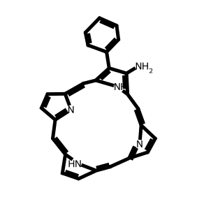 Nc1c(-c2ccccc2)c2cc3nc(cc4ccc(cc5nc(cc1[nH]2)C=C5)[nH]4)C=C3